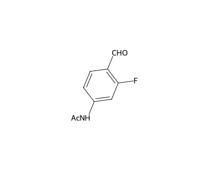 CC(=O)Nc1ccc(C=O)c(F)c1